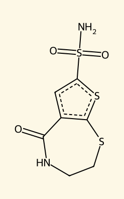 NS(=O)(=O)c1cc2c(s1)SCCNC2=O